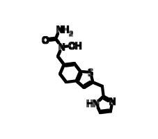 NC(=O)N(O)CC1=Cc2sc(Cc3ncc[nH]3)cc2CC1